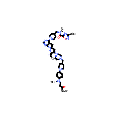 C/C=C\C(=C/c1cc2c(N3CCC(CN(C)C(=O)c4nc(C(C)(C)C)no4)CC3)ncnc2[nH]1)N1CCN(CC2CCN(c3ccc(N(C=O)CCC(=O)NC)cc3)CC2)CC1